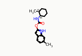 Cc1ccc2cc(OC(=O)N[C@@H]3CCCC[C@@H]3C)[nH]c2c1